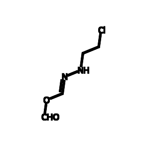 O=COC=NNCCCl